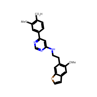 COc1cc2ccsc2cc1CCNc1cc(-c2ccc(C(=O)O)c(SC)c2)ncn1